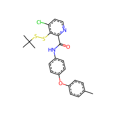 Cc1ccc(Oc2ccc(NC(=O)c3nccc(Cl)c3SSC(C)(C)C)cc2)cc1